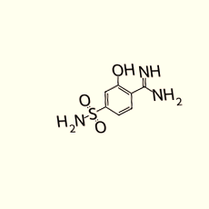 N=C(N)c1ccc(S(N)(=O)=O)cc1O